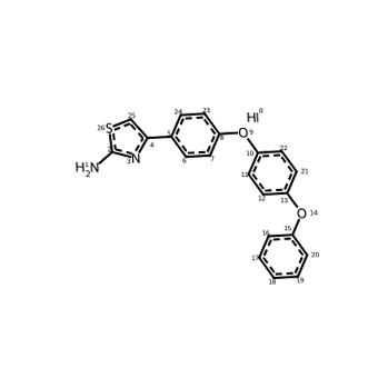 I.Nc1nc(-c2ccc(Oc3ccc(Oc4ccccc4)cc3)cc2)cs1